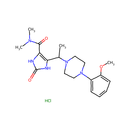 COc1ccccc1N1CCN(C(C)c2[nH]c(=O)[nH]c2C(=O)N(C)C)CC1.Cl